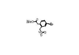 COC(=O)Cc1ccc(Br)cc1C[SH](=O)=O